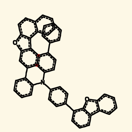 c1ccc(-c2ccc(N(c3ccc(-c4cccc5c4oc4ccccc45)cc3)c3ccccc3-c3ccc4c(c3)oc3ccc5ccccc5c34)cc2)cc1